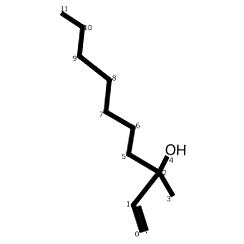 [CH]=CC(C)(O)CCCCCCC